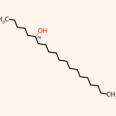 CCCCCCCCCCCCCC[C@@H](O)CCCCC